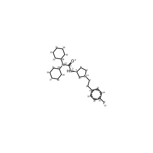 O=C(N[C@H]1CCN(CCc2ccc(F)cc2)C1)N(C1CCCCC1)C1CCCCC1